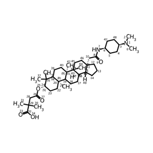 CN(C)[C@H]1CC[C@@H](NC(=O)C[C@]23CCC[C@@H]2[C@H]2CCC4[C@@]5(C)CC[C@H](OC(=O)CC(C)(C)C(=O)O)C(C)(C)C5CC[C@@]4(C)[C@]2(C)CC3)CC1